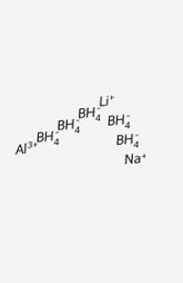 [Al+3].[BH4-].[BH4-].[BH4-].[BH4-].[BH4-].[Li+].[Na+]